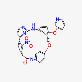 O=C1Nc2ccc(cc2)OCc2cc(ccc2Oc2cccnc2)Nc2nccc(n2)-c2ccc1cc2[N+](=O)[O-]